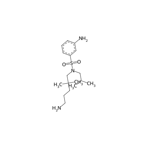 CC(C)CN(CC(C)(C)CCCN)S(=O)(=O)c1cccc(N)c1